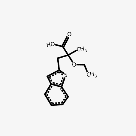 CCOC(C)(Cc1cc2ccccc2s1)C(=O)O